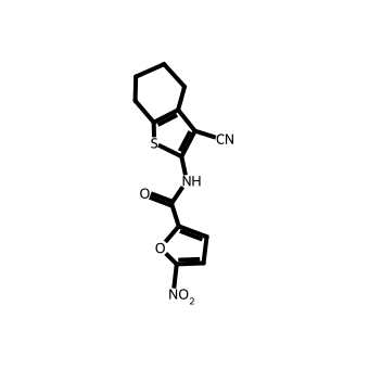 N#Cc1c(NC(=O)c2ccc([N+](=O)[O-])o2)sc2c1CCCC2